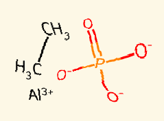 CC.O=P([O-])([O-])[O-].[Al+3]